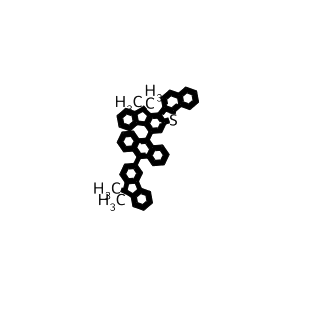 CC1(C)c2ccccc2-c2cc(-c3c4ccccc4c(-c4cc5sc6c7ccccc7ccc6c5c5c4-c4ccccc4C5(C)C)c4ccccc34)ccc21